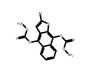 BOC(=O)Oc1c2ccccc2c(OC(=O)OB)c2oc(C(C)=O)cc12